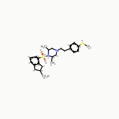 CC1CN(CCc2ccc(SC(F)(F)F)cc2)CC(C)N1S(=O)(=O)c1cccc2c1CC(C(=O)O)C2